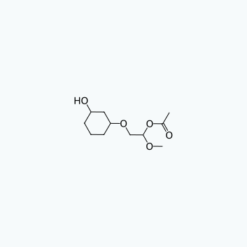 COC(COC1CCCC(O)C1)OC(C)=O